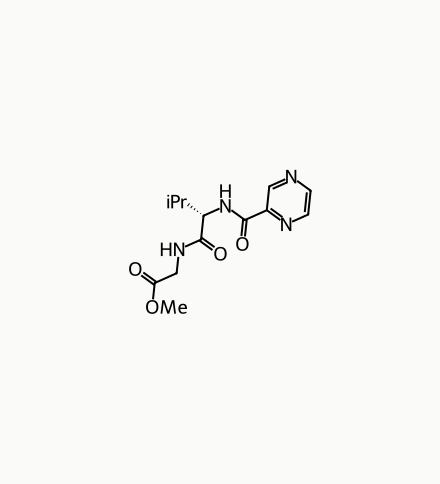 COC(=O)CNC(=O)[C@@H](NC(=O)c1cnccn1)C(C)C